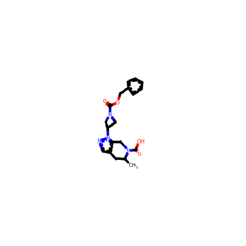 CC1Cc2cnn(C3CN(C(=O)OCc4ccccc4)C3)c2CN1C(=O)O